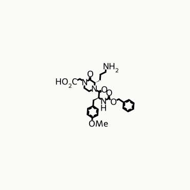 COc1ccc(C[C@H](NC(=O)OCc2ccccc2)C(=O)N2CCN(CC(=O)O)C(=O)[C@@H]2CCCN)cc1